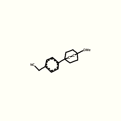 COC12CCC(c3ccc(CC#N)cc3)(CC1)CC2